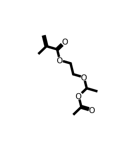 C=C(C)C(=O)OCCOC(C)OC(C)=O